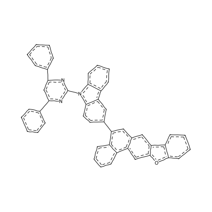 c1ccc(-c2cc(-c3ccccc3)nc(-n3c4ccccc4c4cc(-c5cc6cc7c(cc6c6ccccc56)oc5ccccc57)ccc43)n2)cc1